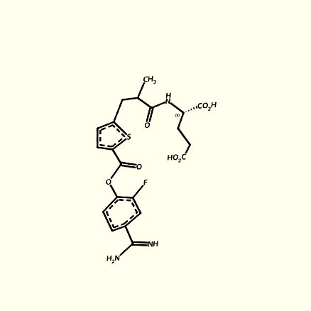 CC(Cc1ccc(C(=O)Oc2ccc(C(=N)N)cc2F)s1)C(=O)N[C@@H](CCC(=O)O)C(=O)O